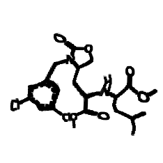 COC(=O)C(CC(C)C)NC(CC1COC(=O)N1Cc1cc(Cl)cc(Cl)c1)C(=O)OC